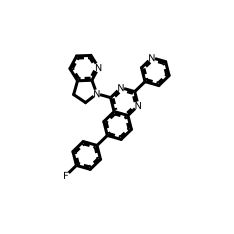 Fc1ccc(-c2ccc3nc(-c4cccnc4)nc(N4CCc5cccnc54)c3c2)cc1